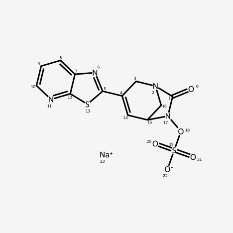 O=C1N2CC(c3nc4cccnc4s3)=CC(C2)N1OS(=O)(=O)[O-].[Na+]